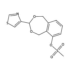 CS(=O)(=O)Oc1cccc2c1COC(c1cscn1)OC2